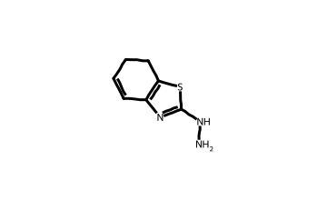 NNc1nc2c(s1)CCC=C2